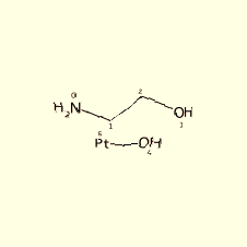 NCCO.[OH][Pt]